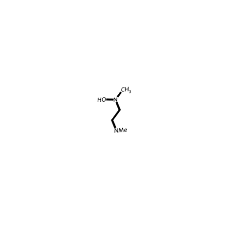 CNCCN(C)O